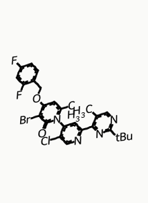 Cc1cnc(C(C)(C)C)nc1-c1cc(-n2c(C)cc(OCc3ccc(F)cc3F)c(Br)c2=O)c(Cl)cn1